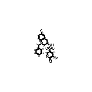 O=S(=O)(NC1Cc2cc(Cl)ccc2N(Cc2ccccc2)C1)c1cnc(Cl)c(Br)c1